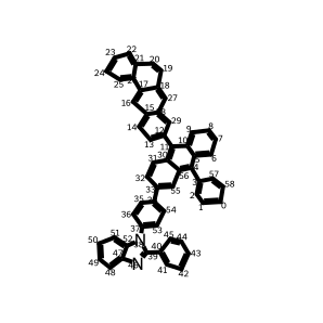 c1ccc(-c2c3ccccc3c(-c3ccc4cc5c(ccc6ccccc65)cc4c3)c3ccc(-c4ccc(-n5c(-c6ccccc6)nc6ccccc65)cc4)cc23)cc1